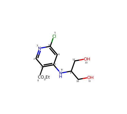 CCOC(=O)c1cnc(Cl)cc1NC(CO)CO